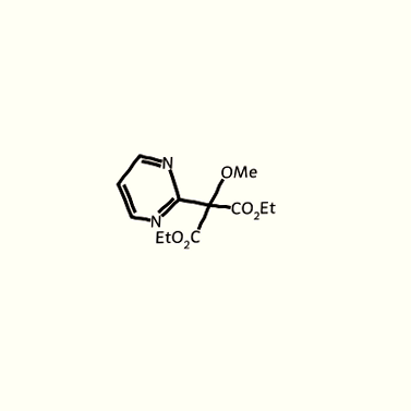 CCOC(=O)C(OC)(C(=O)OCC)c1ncccn1